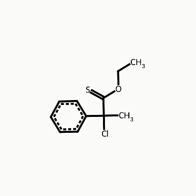 CCOC(=S)C(C)(Cl)c1ccccc1